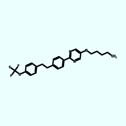 CCCCCOc1cnc(-c2ccc(CCc3ccc(OC(F)(F)F)cc3)cc2)nc1